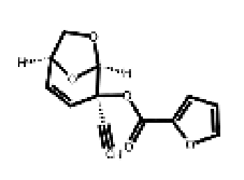 C#C[C@]1(OC(=O)c2ccco2)C=C[C@H]2CO[C@@H]1O2